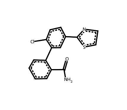 NC(=O)c1c[c]ccc1-c1cc(-c2nccs2)ccc1Cl